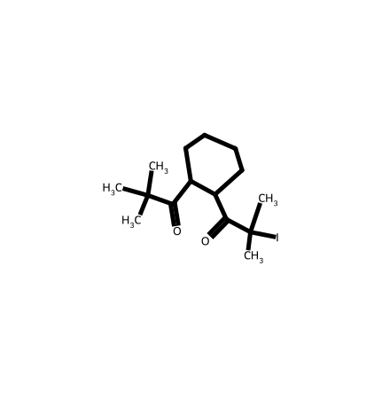 CC(C)(C)C(=O)C1CCCCC1C(=O)C(C)(C)I